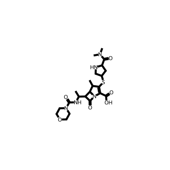 CC(NC(=O)N1CCOCC1)C1C(=O)N2C(C(=O)O)=C(SC3CNC(C(=O)N(C)C)C3)C(C)C12